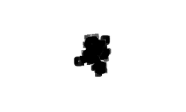 O=C(c1ccsc1)N1CCN2C(=O)c3ccccc3C12c1ccc(Cl)cc1